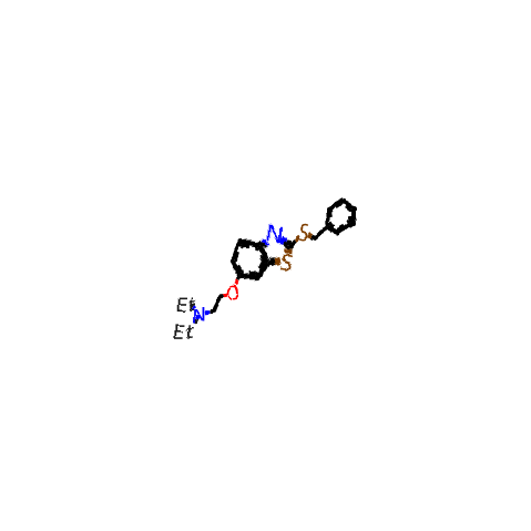 CCN(CC)CCOc1ccc2nc(SCc3ccccc3)sc2c1